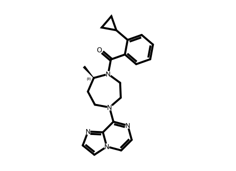 C[C@@H]1CCN(c2nccn3ccnc23)CCN1C(=O)c1ccccc1C1CC1